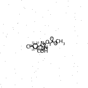 COC(=O)COc1nc(-c2ccc(Cl)cc2Cl)n(O)n1